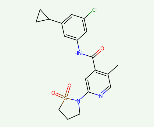 Cc1cnc(N2CCCS2(=O)=O)cc1C(=O)Nc1cc(Cl)cc(C2CC2)c1